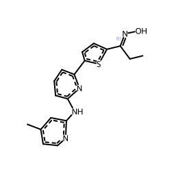 CC/C(=N\O)c1ccc(-c2cccc(Nc3cc(C)ccn3)n2)s1